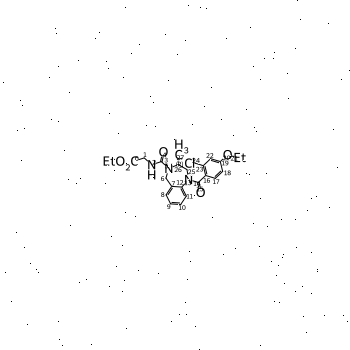 CCOC(=O)CNC(=O)N1Cc2ccccc2N(C(=O)c2ccc(OCC)cc2Cl)C[C@H]1C